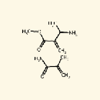 C=C(C(=O)OC)C(C)N.C=C(C)C(N)=O